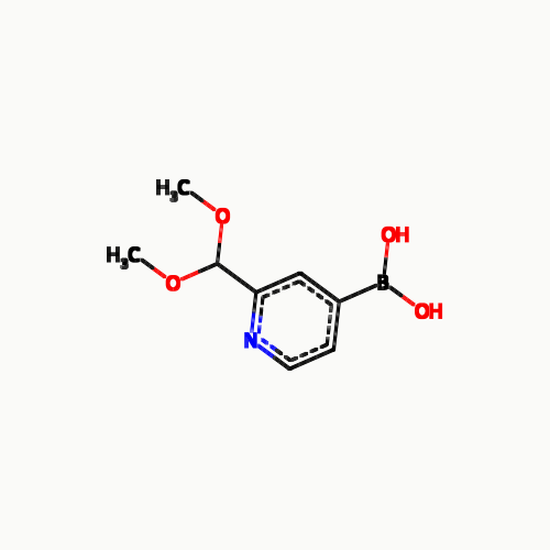 COC(OC)c1cc(B(O)O)ccn1